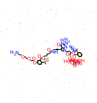 CSSC(C)c1ccc(OC(=O)COCCOCCN)cc1C(=O)OCCCCC(=O)NCC#Cc1cn([C@H]2CC(OC(=O)c3ccccc3C(C)N=[N+]=[N-])[C@@H](COP(=O)(O)OP(=O)(O)OP(=O)(O)O)O2)c2nc(N)[nH]c(=O)c12